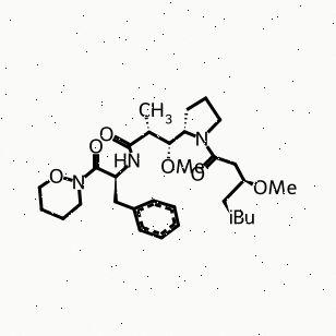 CC[C@H](C)C[C@@H](CC(=O)N1CCC[C@H]1[C@H](OC)[C@@H](C)C(=O)N[C@@H](Cc1ccccc1)C(=O)N1CCCCO1)OC